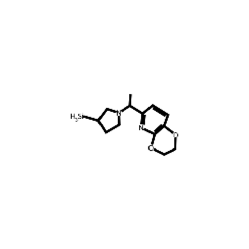 CC(c1ccc2c(n1)OCCO2)N1CCC([SiH3])C1